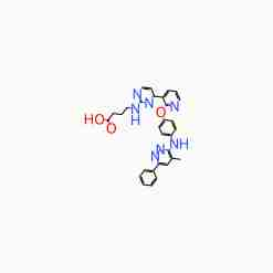 Cc1cc(-c2ccccc2)nnc1Nc1ccc(Oc2ncccc2-c2ccnc(NCCCC(=O)O)n2)cc1